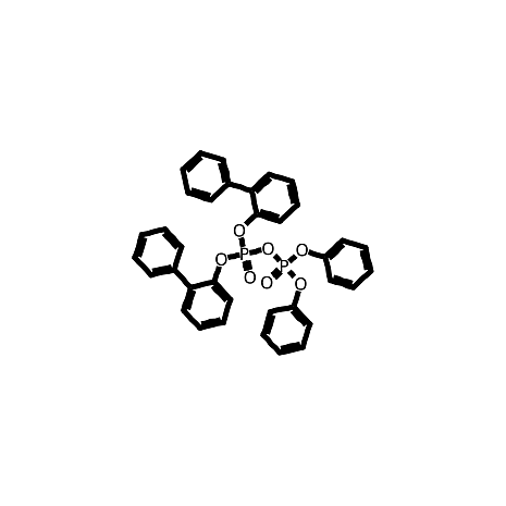 O=P(Oc1ccccc1)(Oc1ccccc1)OP(=O)(Oc1ccccc1-c1ccccc1)Oc1ccccc1-c1ccccc1